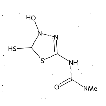 CNC(=O)NC1=NN(O)C(S)S1